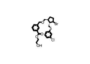 O=C(OCCO)c1cccc(COC[C@H]2CCC(Br)[C@@H]2CSc2cccc(Cl)c2)c1